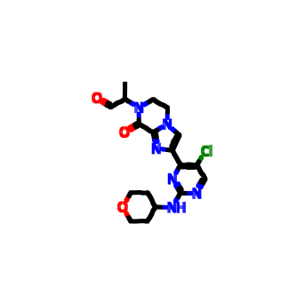 CC(C=O)N1CCn2cc(-c3nc(NC4CCOCC4)ncc3Cl)nc2C1=O